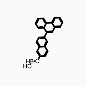 OBOc1ccc2cc(-c3cc4ccccc4c4ccccc34)ccc2c1